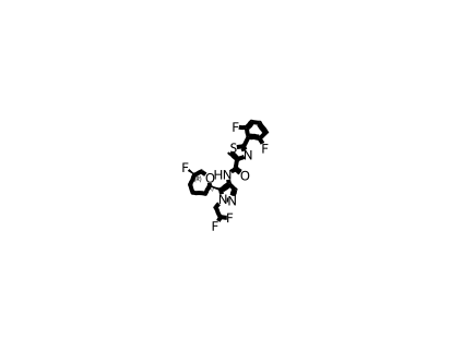 O=C(Nc1cnn(CC(F)F)c1[C@H]1CCC[C@@H](F)CO1)c1csc(-c2c(F)cccc2F)n1